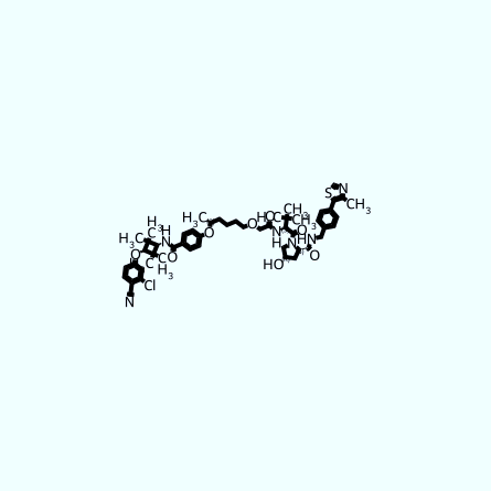 Cc1ncsc1-c1ccc(CNC(=O)[C@@H]2C[C@@H](O)CN2C(=O)[C@@H](NC(=O)COCCCC[C@H](C)Oc2ccc(C(=O)N[C@H]3C(C)(C)[C@H](Oc4ccc(C#N)c(Cl)c4)C3(C)C)cc2)C(C)(C)C)cc1